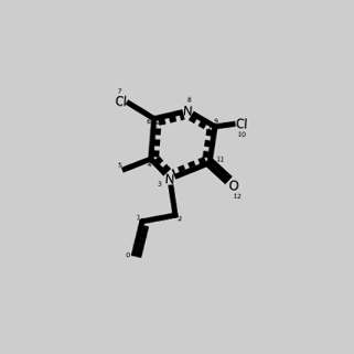 C=CCn1c(C)c(Cl)nc(Cl)c1=O